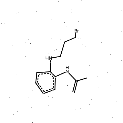 C=C(C)Nc1ccccc1NCCCBr